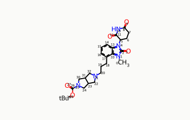 Cn1c(=O)n(C2CCC(=O)NC2=O)c2cccc(CCCN3CC4CN(C(=O)OC(C)(C)C)CC4C3)c21